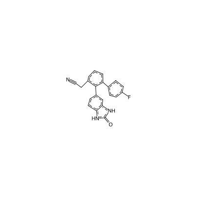 N#CCc1cccc(-c2ccc(F)cc2)c1-c1ccc2[nH]c(=O)[nH]c2c1